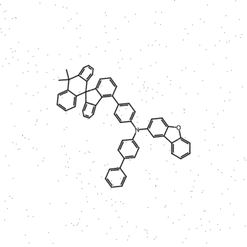 CC1(C)c2ccccc2C2(c3ccccc3-c3c(-c4ccc(N(c5ccc(-c6ccccc6)cc5)c5ccc6oc7ccccc7c6c5)cc4)cccc32)c2ccccc21